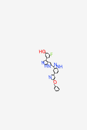 Oc1cc(F)cc(-c2cncc3[nH]c(-c4n[nH]c5ccc(-c6cncc(OCc7ccccc7)c6)cc45)cc23)c1